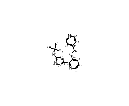 FC(F)(F)Nc1nnc(-c2ncccc2OCc2ccncc2)o1